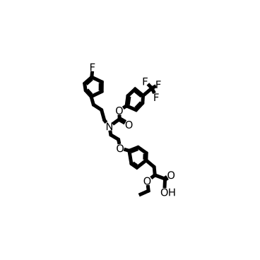 CCOC(Cc1ccc(OCCN(CCCc2ccc(F)cc2)C(=O)Oc2ccc(C(F)(F)F)cc2)cc1)C(=O)O